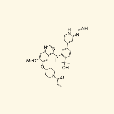 C=CC(=O)N1CCC(Oc2cc3c(Nc4cc(-c5cc[nH]/c(=N\C=N)c5)ccc4C(C)(C)O)ncnc3cc2OC)CC1